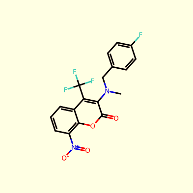 CN(Cc1ccc(F)cc1)c1c(C(F)(F)F)c2cccc([N+](=O)[O-])c2oc1=O